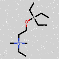 CC[N+](C)(C)CCO[Si](CC)(CC)CC